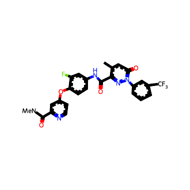 CNC(=O)c1cc(Oc2ccc(NC(=O)c3nn(-c4cccc(C(F)(F)F)c4)c(=O)cc3C)cc2F)ccn1